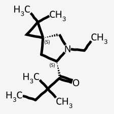 CCN1C[C@]2(C[C@H]1C(=O)C(C)(C)CC)CC2(C)C